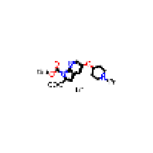 CC(C)N1CCC(Oc2cnc3c(c2)cc(C(=O)[O-])n3C(=O)OC(C)(C)C)CC1.[Li+]